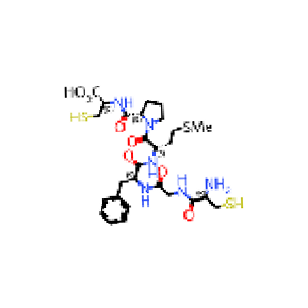 CSCC[C@H](NC(=O)[C@H](Cc1ccccc1)NC(=O)CNC(=O)[C@@H](N)CS)C(=O)N1CCC[C@H]1C(=O)N[C@@H](CS)C(=O)O